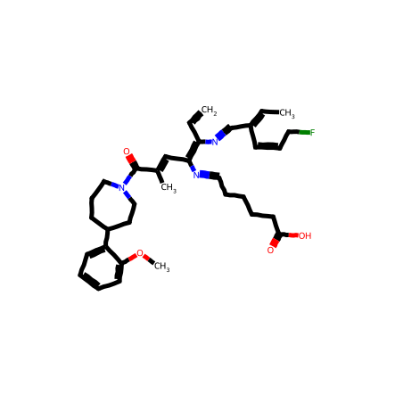 C=CC(/N=C/C(/C=C\CF)=C/C)=C(\C=C(/C)C(=O)N1CCCC(c2ccccc2OC)CC1)/N=C/CCCCC(=O)O